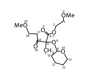 COCCOC(=O)C(C)(OC1CCCCO1)C(=O)CCOC